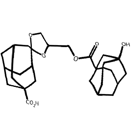 O=C(O)C12CC3CC(C1)C1(OCC(COC(=O)C45CC6CC(CC(O)(C6)C4)C5)O1)C(C3)C2